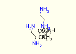 CC(=O)O.CC(=O)O.NCCN.NCCN